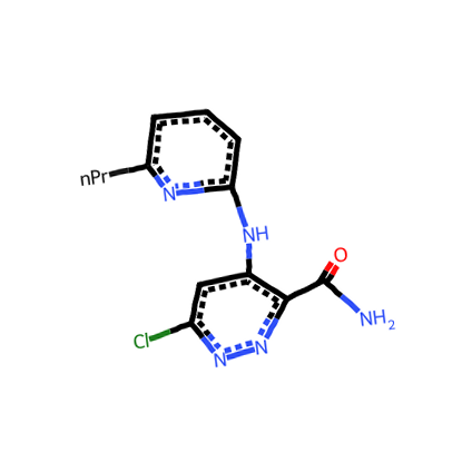 CCCc1cccc(Nc2cc(Cl)nnc2C(N)=O)n1